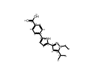 CCn1nc(-c2ccc(-c3ccc(C(=O)O)cc3)[nH]2)cc1C(C)C